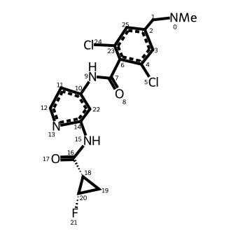 CNCc1cc(Cl)c(C(=O)Nc2ccnc(NC(=O)[C@@H]3C[C@@H]3F)c2)c(Cl)c1